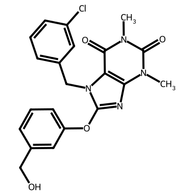 Cn1c(=O)c2c(nc(Oc3cccc(CO)c3)n2Cc2cccc(Cl)c2)n(C)c1=O